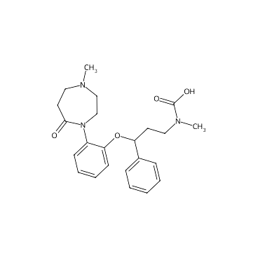 CN1CCC(=O)N(c2ccccc2OC(CCN(C)C(=O)O)c2ccccc2)CC1